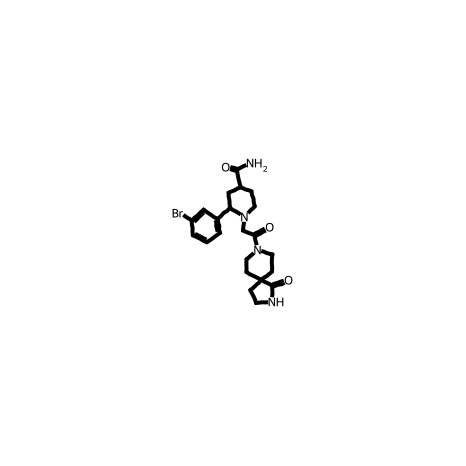 NC(=O)C1CCN(CC(=O)N2CCC3(CCNC3=O)CC2)C(c2cccc(Br)c2)C1